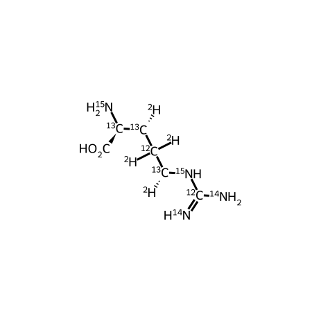 [2H][13C@@H]([15NH][12C](=[14NH])[14NH2])[12C]([2H])([2H])[13C@@H]([2H])[13C@H]([15NH2])[13C](=O)O